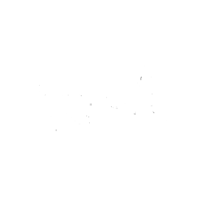 CCCCc1cc(=O)oc2nc(O/N=C3\C[C@@H](C(=O)OCC)C[C@@H](C(=O)OCC)C3)[nH]c(=O)c12